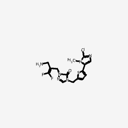 Cn1c(-c2ccc(Cn3cnn(CC(CN)=C(F)F)c3=O)s2)cnc1Cl